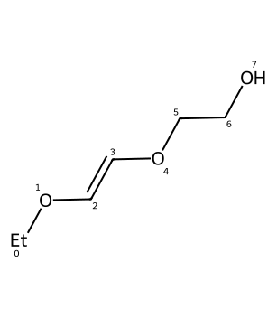 CCOC=COCCO